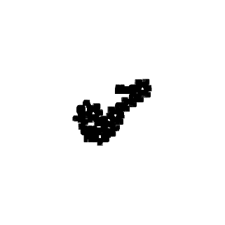 COCCN(C)C(=O)c1cc(COC2CN(C(=O)O)CCC2c2ccc(OCCCOCc3ccccc3OC)cc2)ccc1C